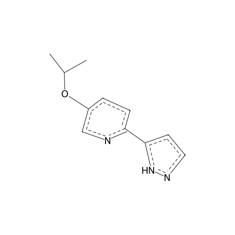 CC(C)Oc1ccc(-c2ccn[nH]2)nc1